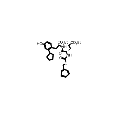 CCOC(=O)CC[C@H](NC(=O)OCc1ccccc1)C(=O)N[C@@H](Cc1ccc(O)cc1C1CCCC1)C(=O)OCC